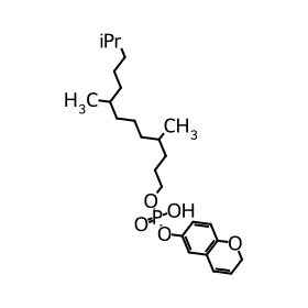 CC(C)CCCC(C)CCCC(C)CCCOP(=O)(O)Oc1ccc2c(c1)C=CCO2